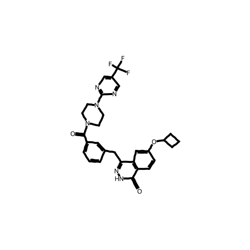 O=C(c1cccc(Cc2n[nH]c(=O)c3ccc(OC4CCC4)cc23)c1)N1CCN(c2ncc(C(F)(F)F)cn2)CC1